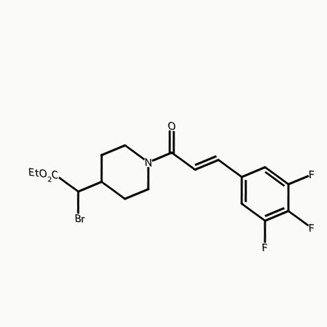 CCOC(=O)C(Br)C1CCN(C(=O)/C=C/c2cc(F)c(F)c(F)c2)CC1